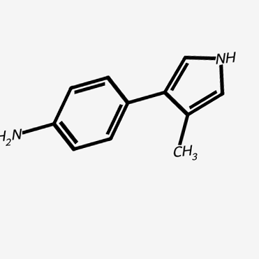 Cc1c[nH]cc1-c1ccc(N)cc1